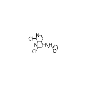 Clc1cc(NCc2ccco2)c2ccnc(Cl)c2n1